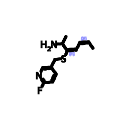 C/C=C\C=C(\SCc1ccc(F)nc1)C(C)N